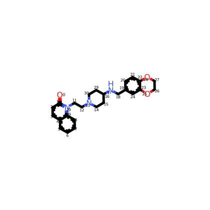 O=c1ccc2ccccc2n1CCN1CCC(NCc2ccc3c(c2)OCCO3)CC1